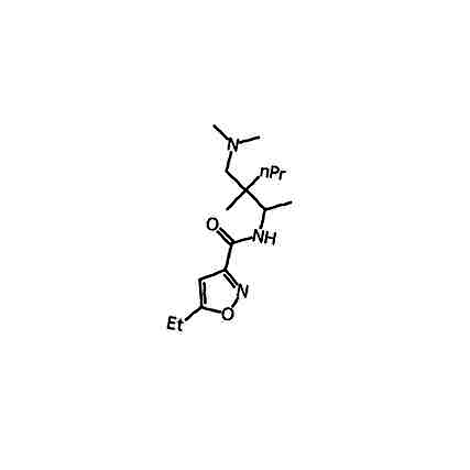 CCCC(C)(CN(C)C)C(C)NC(=O)c1cc(CC)on1